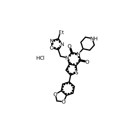 CCc1noc(Cn2c(=O)n(C3CCNCC3)c(=O)c3sc(-c4ccc5c(c4)OCO5)cc32)n1.Cl